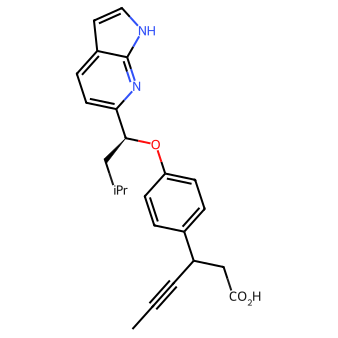 CC#CC(CC(=O)O)c1ccc(O[C@@H](CC(C)C)c2ccc3cc[nH]c3n2)cc1